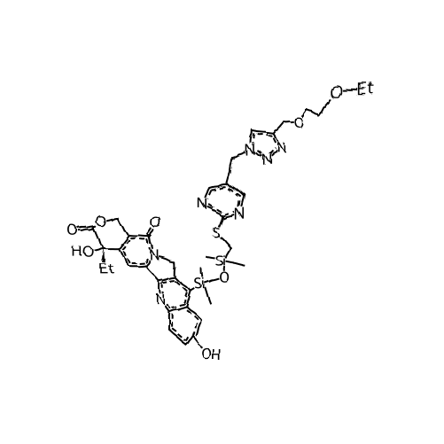 CCOCCOCc1cn(Cc2cnc(SC[Si](C)(C)O[Si](C)(C)c3c4c(nc5ccc(O)cc35)-c3cc5c(c(=O)n3C4)COC(=O)[C@]5(O)CC)nc2)nn1